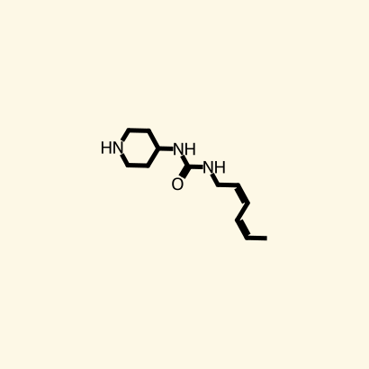 C/C=C\C=C/CNC(=O)NC1CCNCC1